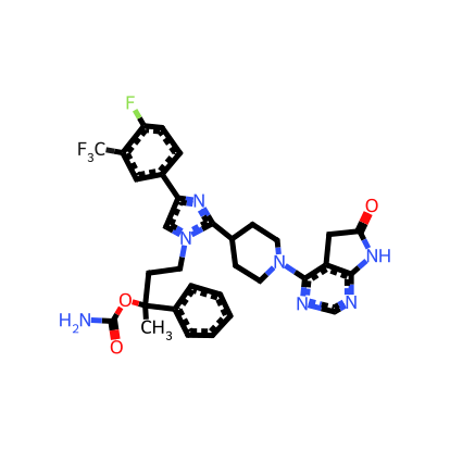 CC(CCn1cc(-c2ccc(F)c(C(F)(F)F)c2)nc1C1CCN(c2ncnc3c2CC(=O)N3)CC1)(OC(N)=O)c1ccccc1